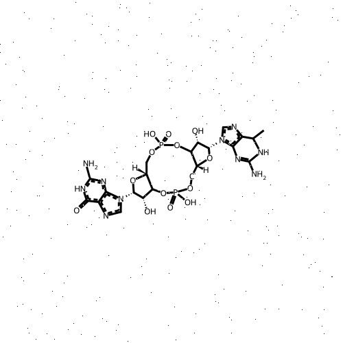 CC1NC(N)=Nc2c1ncn2[C@@H]1O[C@@H]2COP(=O)(O)OC3[C@@H](COP(=O)(O)OC2[C@@H]1O)O[C@@H](n1cnc2c(=O)[nH]c(N)nc21)[C@H]3O